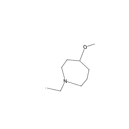 [CH2]CN1CCCC(OC)CC1